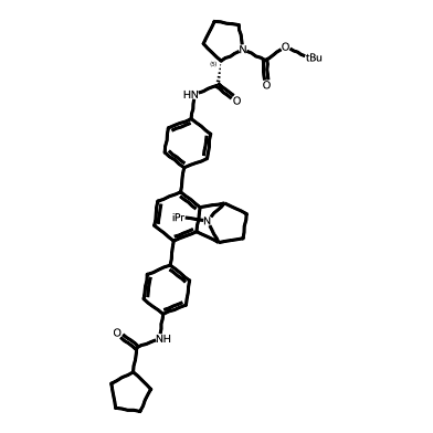 CC(C)N1C2CCC1c1c(-c3ccc(NC(=O)[C@@H]4CCCN4C(=O)OC(C)(C)C)cc3)ccc(-c3ccc(NC(=O)C4CCCC4)cc3)c12